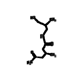 CC(=O)CC(C)CC(=O)NCC(C)CO